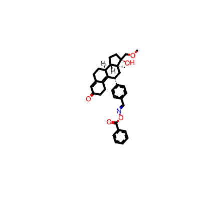 COC[C@]1(O)CC[C@H]2[C@@H]3CCC4=CC(=O)CCC4=C3[C@@H](c3ccc(C=NOC(=O)c4ccccc4)cc3)C[C@@]21C